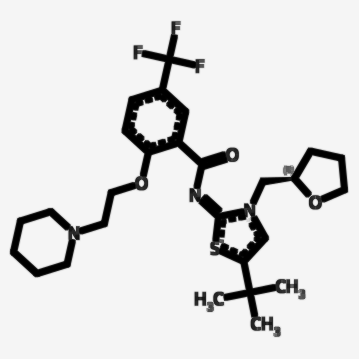 CC(C)(C)c1cn(C[C@H]2CCCO2)c(=NC(=O)c2cc(C(F)(F)F)ccc2OCCN2CCCCC2)s1